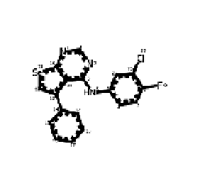 Fc1ccc(Nc2ncnc3[se]cc(-c4ccccc4)c23)cc1Cl